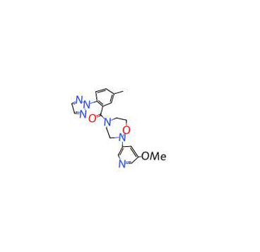 COc1cncc(N2CCN(C(=O)c3cc(C)ccc3-n3nccn3)CCO2)c1